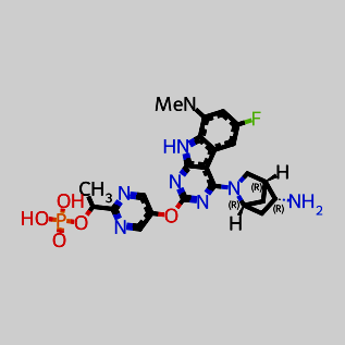 CNc1cc(F)cc2c1[nH]c1nc(Oc3cnc(C(C)OP(=O)(O)O)nc3)nc(N3C[C@H]4C[C@@H]3C[C@H]4N)c12